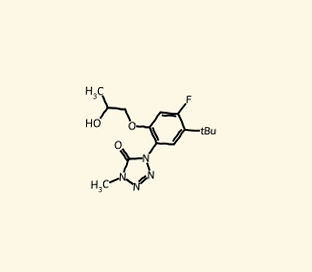 CC(O)COc1cc(F)c(C(C)(C)C)cc1-n1nnn(C)c1=O